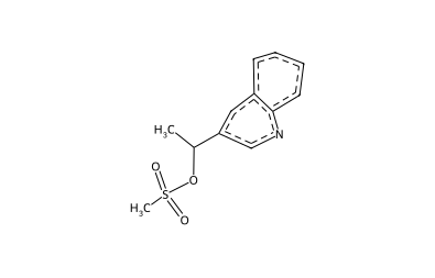 CC(OS(C)(=O)=O)c1cnc2ccccc2c1